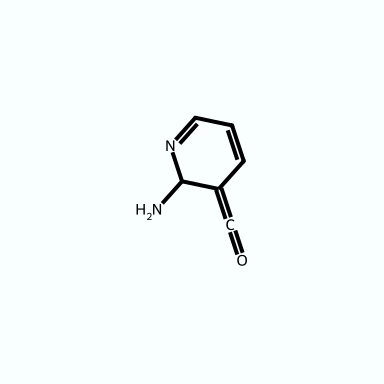 NC1N=CC=CC1=C=O